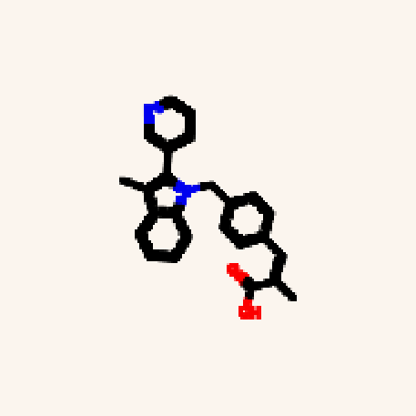 CC(=Cc1ccc(Cn2c(-c3cccnc3)c(C)c3ccccc32)cc1)C(=O)O